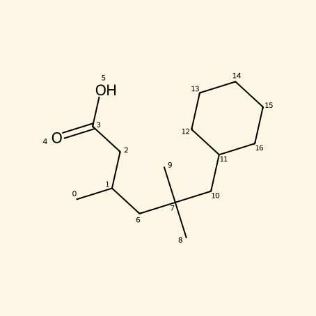 CC(CC(=O)O)CC(C)(C)CC1CCCCC1